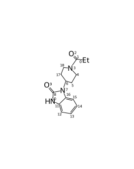 CCC(=O)N1CCC(n2c(=O)[nH]c3ccccc32)CC1